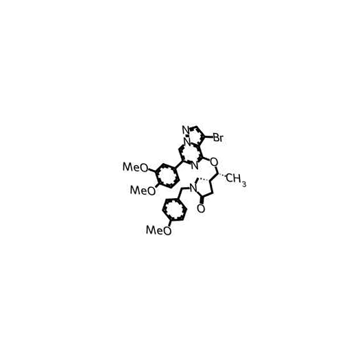 COc1ccc(CN2C[C@H]([C@@H](C)Oc3nc(-c4ccc(OC)c(OC)c4)cn4ncc(Br)c34)CC2=O)cc1